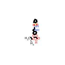 CCC(C)OC(=O)C(Oc1ccc2cc(CNS(=O)(=O)c3ccccc3)[nH]c2c1)C(=O)O